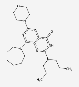 CCCN(CCC)c1nc2c(N3CCCCCC3)nc(N3CCOCC3)cc2c(=O)[nH]1